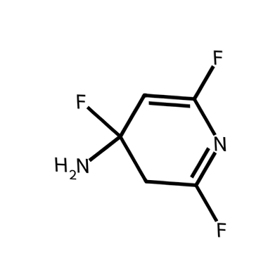 NC1(F)C=C(F)N=C(F)C1